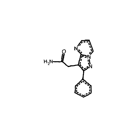 NC(=O)Cc1c(-c2ccccc2)nn2cccnc12